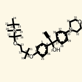 C#CC(O)(c1ccc(OC(C)(C)CCOC(C)(C)S(C)(C)C(C)(C)C)cc1)c1ccc(N2CCOCC2)cc1